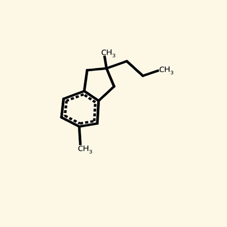 CCCC1(C)Cc2ccc(C)cc2C1